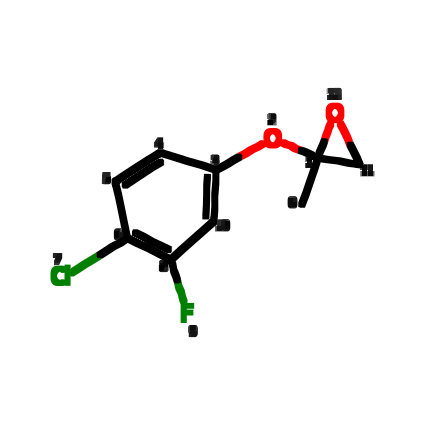 CC1(Oc2ccc(Cl)c(F)c2)CO1